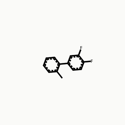 Cc1ccc[c]c1-c1ccc(F)c(F)c1